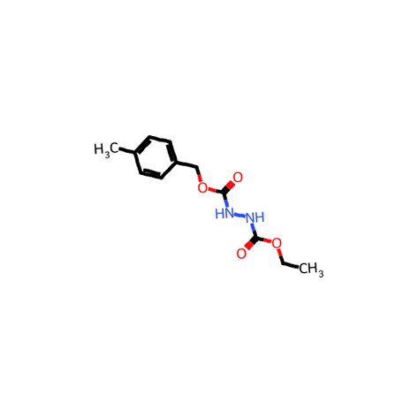 CCOC(=O)NNC(=O)OCc1ccc(C)cc1